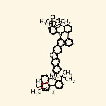 CC(C)(C)c1cccc(N(c2ccc3cc4c(cc3c2)oc2cc3cc(N(c5cccc(C(C)(C)C)c5)c5c(-c6ccccc6)cccc5C(C)(C)C)ccc3cc24)c2c(-c3ccccc3)cccc2C(C)(C)C)c1